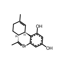 C=C(C)[C@@H]1CCC(C)=C[C@H]1c1c(O)cc(O)cc1Br